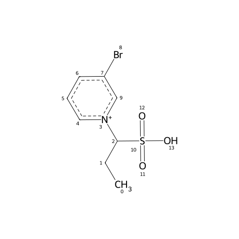 CCC([n+]1cccc(Br)c1)S(=O)(=O)O